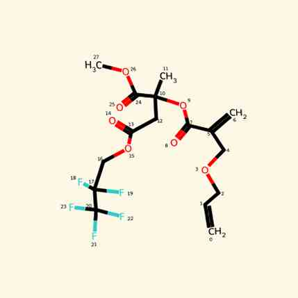 C=CCOCC(=C)C(=O)OC(C)(CC(=O)OCC(F)(F)C(F)(F)F)C(=O)OC